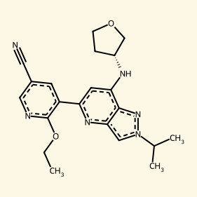 CCOc1ncc(C#N)cc1-c1cc(N[C@@H]2CCOC2)c2nn(C(C)C)cc2n1